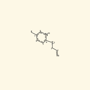 C=CCSc1ccc(C)cn1